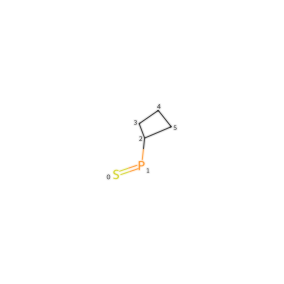 S=PC1CCC1